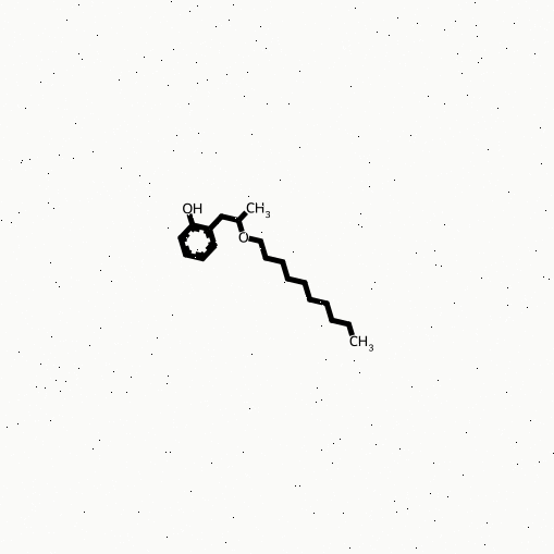 CCCCCCCCCCOC(C)Cc1ccccc1O